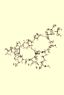 CC(C)CC1NC(=O)C(NC(=O)C2CCC(=O)N2)C(C(C)C)c2ccc3c4c([nH]c3c2)-n2cnc(c2)CC(C(=O)NC(C(=O)O)C(C)C)NC(=O)C(C)NC(=O)C(CCCN=C(N)N)NC(=O)C(C4)NC(=O)C(C(C)C)NC1=O